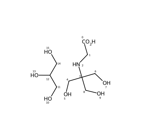 O=C(O)CNC(CO)(CO)CO.OCC(O)CO